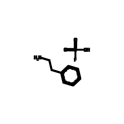 NCCc1ccccc1.O=S(=O)(O)F